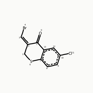 O=C1C(=CBr)CSc2ccc(Cl)cc21